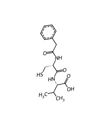 CC(C)[C@H](NC(=O)[C@H](CS)NC(=O)Cc1ccccc1)C(=O)O